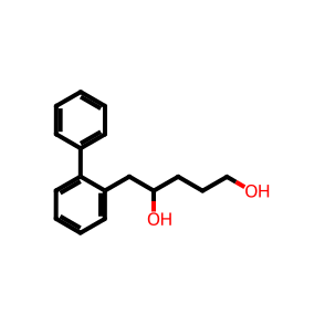 OCCCC(O)Cc1ccccc1-c1ccccc1